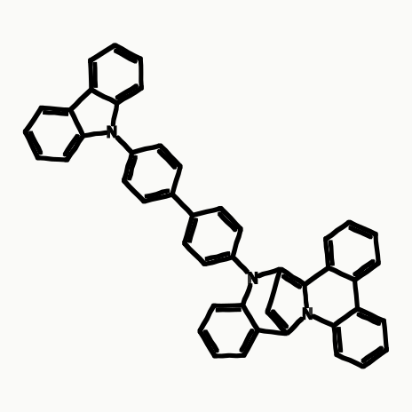 c1ccc2c(c1)-c1cc(c3c4ccccc4c4ccccc4n13)N2c1ccc(-c2ccc(-n3c4ccccc4c4ccccc43)cc2)cc1